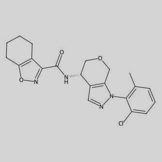 Cc1cccc(Cl)c1-n1ncc2c1COC[C@H]2NC(=O)c1noc2c1CCCC2